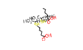 CCCCCC(=O)O.CCCCCC(=O)O.CCCCCCCC(S)C(=O)O.CCCCCCCC(S)C(=O)O